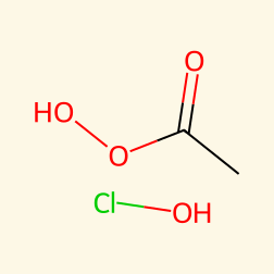 CC(=O)OO.OCl